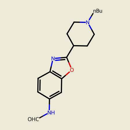 CCCCN1CCC(c2nc3ccc(NC=O)cc3o2)CC1